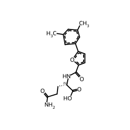 Cc1cc(C)cc(-c2ccc(C(=O)N[C@@H](CCC(N)=O)C(=O)O)o2)c1